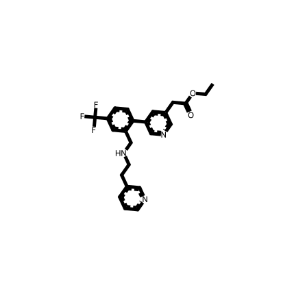 CCOC(=O)Cc1cncc(-c2ccc(C(F)(F)F)cc2CNCCc2cccnc2)c1